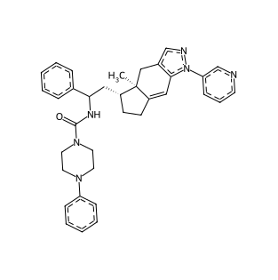 C[C@]12Cc3cnn(-c4cccnc4)c3C=C1CC[C@@H]2CC(NC(=O)N1CCN(c2ccccc2)CC1)c1ccccc1